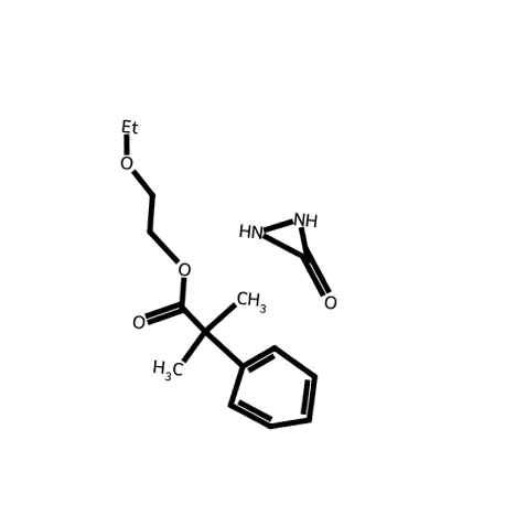 CCOCCOC(=O)C(C)(C)c1ccccc1.O=C1NN1